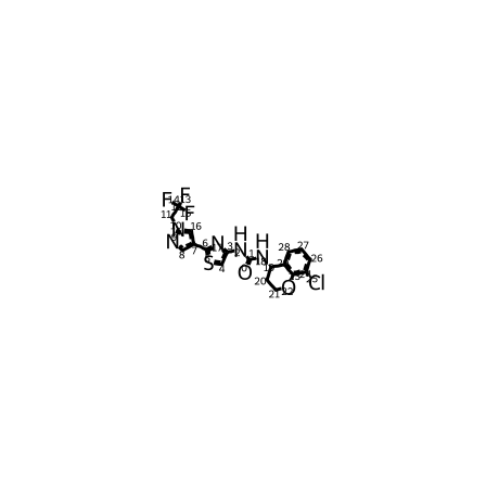 O=C(Nc1csc(-c2cnn(CC(F)(F)F)c2)n1)N[C@H]1CCOc2c(Cl)cccc21